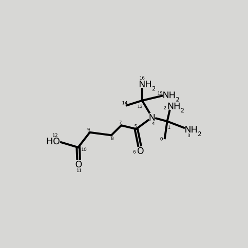 CC(N)(N)N(C(=O)CCCC(=O)O)C(C)(N)N